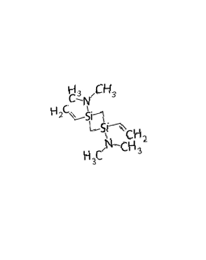 C=C[Si]1(N(C)C)C[Si](C=C)(N(C)C)C1